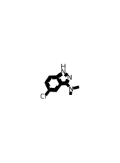 CN(C)c1n[nH]c2ccc(Cl)cc12